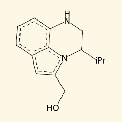 CC(C)C1CNc2cccc3cc(CO)n1c23